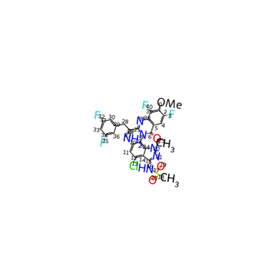 COc1c(F)cc2c(=O)n(-c3ccc(Cl)c4c(NS(C)(=O)=O)nn(C)c34)c([C@@H](N)Cc3cc(F)cc(F)c3)nc2c1F